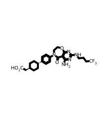 Nc1nc(NCCCC(F)(F)F)nc2c1C(=O)N(c1ccc([C@H]3CC[C@H](CC(=O)O)CC3)cc1)CCO2